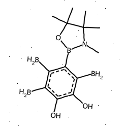 Bc1c(B)c(B2OC(C)(C)C(C)(C)N2C)c(B)c(O)c1O